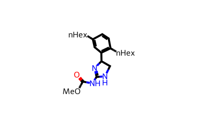 CCCCCCc1ccc(CCCCCC)c(C2CNC(NC(=O)OC)=N2)c1